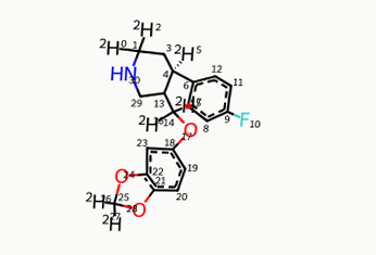 [2H]C1([2H])C[C@@]([2H])(c2ccc(F)cc2)C(C([2H])([2H])Oc2ccc3c(c2)OC([2H])([2H])O3)CN1